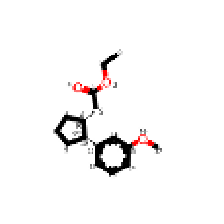 CCOC(=O)C[C@H]1CCC[C@H]1c1cccc(OC)c1